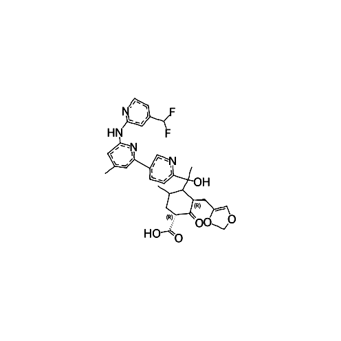 Cc1cc(Nc2cc(C(F)F)ccn2)nc(-c2ccc(C(C)(O)C3C(C)C[C@@H](C(=O)O)C(=O)[C@@H]3CC3=COCO3)nc2)c1